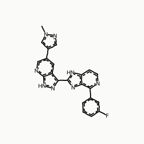 Cn1cc(-c2cnc3[nH]nc(-c4nc5c(-c6cccc(F)c6)nccc5[nH]4)c3c2)cn1